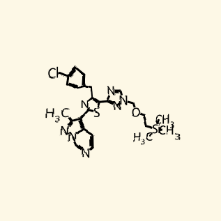 Cc1nn2cnccc2c1-c1nc(Cc2ccc(Cl)cc2)c(-c2ncn(COCC[Si](C)(C)C)n2)s1